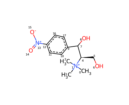 C[N+](C)(C)[C@H](CO)C(O)c1ccc([N+](=O)[O-])cc1